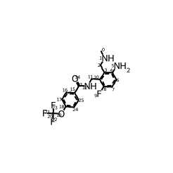 CNCc1c(N)ccc(F)c1CNC(=O)c1ccc(OC(F)(F)F)cc1